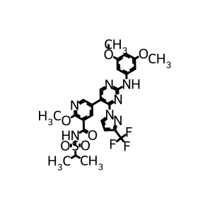 COc1cc(Nc2ncc(-c3cnc(OC)c(C(=O)NS(=O)(=O)C(C)C)c3)c(-n3ccc(C(F)(F)F)n3)n2)cc(OC)c1